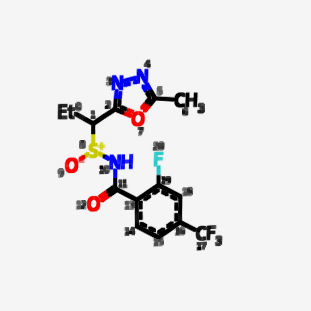 CCC(c1nnc(C)o1)[S+]([O-])NC(=O)c1ccc(C(F)(F)F)cc1F